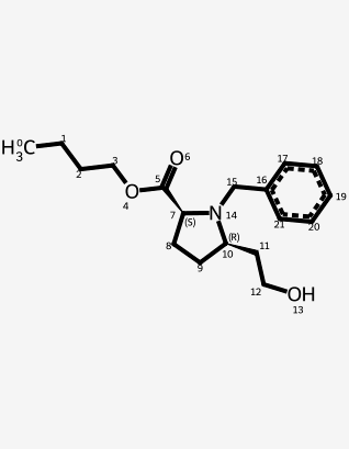 CCCCOC(=O)[C@@H]1CC[C@H](CCO)N1Cc1ccccc1